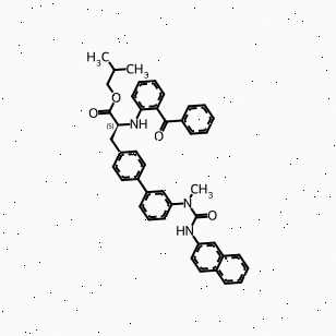 CC(C)COC(=O)[C@H](Cc1ccc(-c2cccc(N(C)C(=O)Nc3ccc4ccccc4c3)c2)cc1)Nc1ccccc1C(=O)c1ccccc1